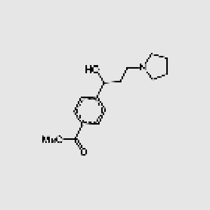 COC(=O)c1ccc(C(O)CCN2CCCC2)cc1